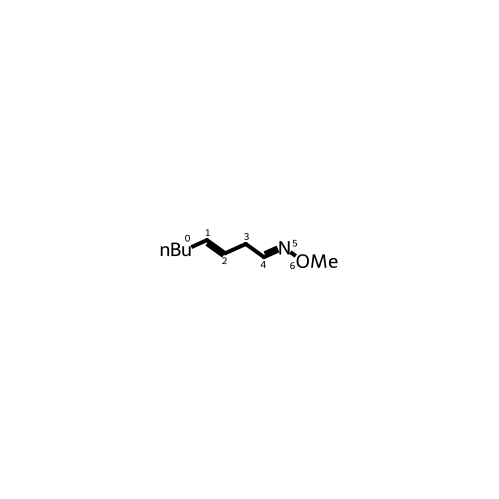 [CH2]CCCC=CCC=NOC